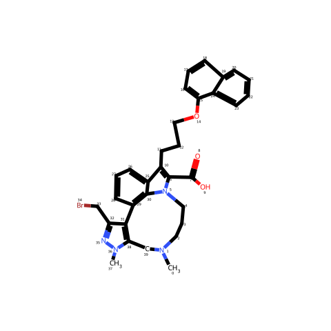 CN1CCCn2c(C(=O)O)c(CCCOc3cccc4ccccc34)c3cccc(c32)-c2c(CBr)nn(C)c2C1